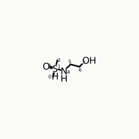 C[SH](C)(=O)NCCO